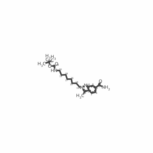 Cc1c2ccc(C(N)=O)cc2nn1CCCCCCCCNC(=O)OC(C)(C)C